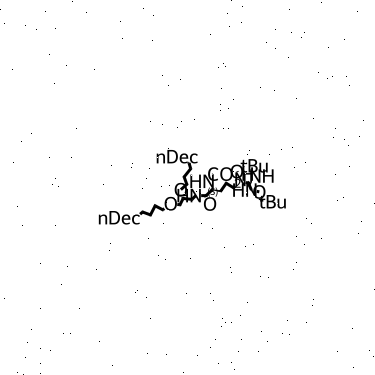 CCCCCCCCCCCCCCOCC(CNC(=O)[C@H](CCCN(OC(C)(C)C)C(=N)NOC(C)(C)C)NC(=O)O)OCCCCCCCCCCCCCC